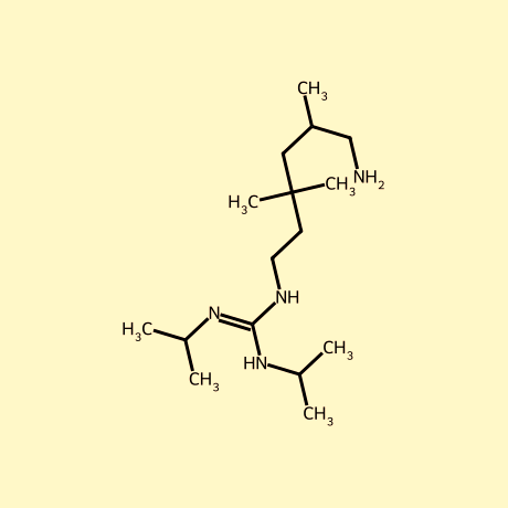 CC(CN)CC(C)(C)CCNC(=NC(C)C)NC(C)C